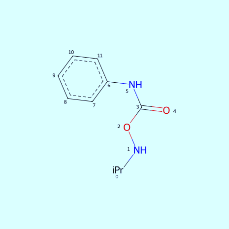 CC(C)NOC(=O)Nc1ccccc1